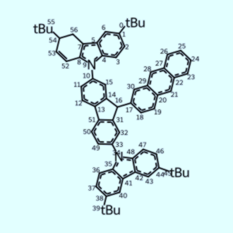 CC(C)(C)c1ccc2c(c1)c1c(n2-c2ccc3c(c2)C(c2ccc4cc5ccccc5cc4c2)c2cc(-n4c5ccc(C(C)(C)C)cc5c5cc(C(C)(C)C)ccc54)ccc2-3)C=CC(C(C)(C)C)C1